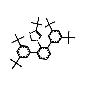 CC(C)(C)C1=CN(c2c(-c3cc(C(C)(C)C)cc(C(C)(C)C)c3)cccc2-c2cc(C(C)(C)C)cc(C(C)(C)C)c2)CS1